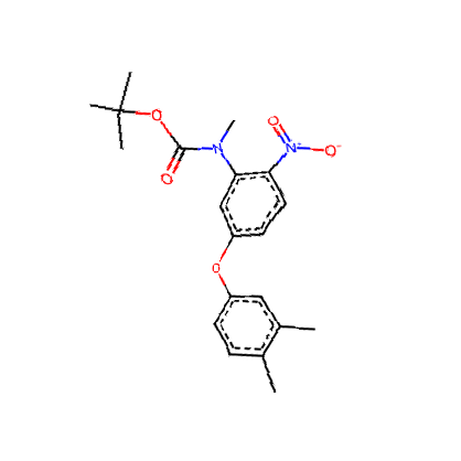 Cc1ccc(Oc2ccc([N+](=O)[O-])c(N(C)C(=O)OC(C)(C)C)c2)cc1C